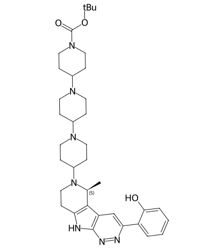 C[C@H]1c2c([nH]c3nnc(-c4ccccc4O)cc23)CCN1C1CCN(C2CCN(C3CCN(C(=O)OC(C)(C)C)CC3)CC2)CC1